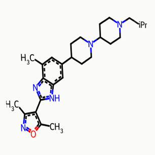 Cc1noc(C)c1-c1nc2c(C)cc(C3CCN(C4CCN(CC(C)C)CC4)CC3)cc2[nH]1